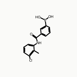 Cc1c(Cl)cccc1NC(=O)c1cccc(B(O)O)c1